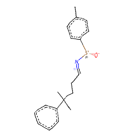 Cc1ccc([S@+]([O-])/N=C/CCC(C)(C)c2ccccc2)cc1